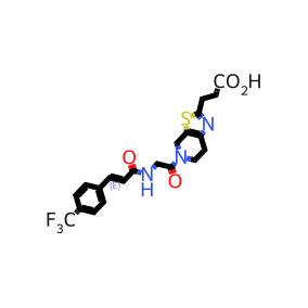 O=C(O)CCc1nc2c(s1)CN(C(=O)CNC(=O)/C=C/c1ccc(C(F)(F)F)cc1)CC2